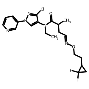 CCN(C(=O)C(C)CC=NOCCC1CC1(F)F)c1cn(-c2cccnc2)nc1Cl